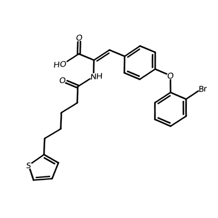 O=C(CCCCc1cccs1)N/C(=C\c1ccc(Oc2ccccc2Br)cc1)C(=O)O